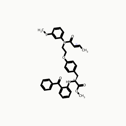 C/C=C/C(=O)N(CCOc1ccc(C[C@H](Nc2ccccc2C(=O)c2ccccc2)C(=O)OC)cc1)c1cccc(SC)c1